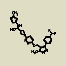 Cc1nnn(-c2ccc(C(F)F)cc2)c1COc1ccc(N2CC(C(O)Nc3cnn(C)c3)C2)nn1